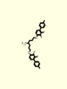 Cc1ccc(-c2ccc(OCCCC(CCCOc3ccc(-c4ccc(C)cc4)c(F)c3F)C(F)(F)F)c(F)c2F)cc1